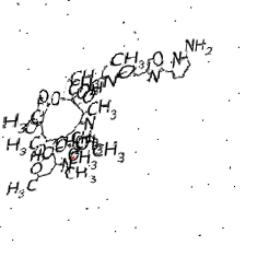 CCC(=O)/N=C1\[C@H](C)C[C@@](C)(O)[C@H](O[C@@H]2O[C@H](C)C[C@H](N(C)C)[C@H]2OC(C)=O)[C@@H](C)C(=O)[C@](C)(F)C(=O)O[C@H](CC)[C@@](C)(O)[C@H](OCC(CC)=NOCc2coc(-c3cccc(N)n3)n2)[C@H]1C